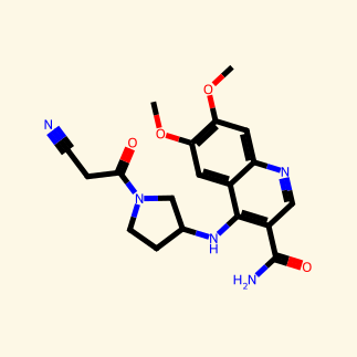 COc1cc2ncc(C(N)=O)c(NC3CCN(C(=O)CC#N)C3)c2cc1OC